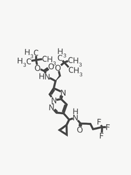 CC(C)(C)OC[C@H](NC(=O)OC(C)(C)C)c1cn2ncc(C(NC(=O)CCC(F)(F)F)C3CC3)cc2n1